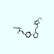 Cn1nnc(CCN2CCC[C@H]2c2ccc(C=CC(=O)NO)cc2)n1